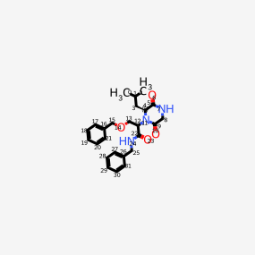 CC(C)C[C@H]1C(=O)NCC(=O)N1C(COCc1ccccc1)C(=O)NCc1ccccc1